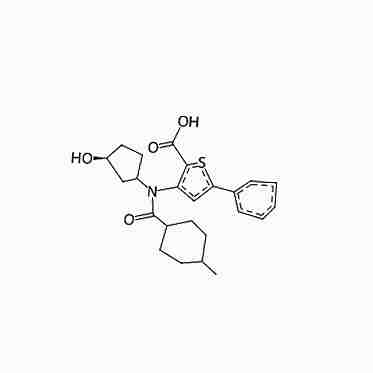 CC1CCC(C(=O)N(c2cc(-c3ccccc3)sc2C(=O)O)C2CC[C@H](O)C2)CC1